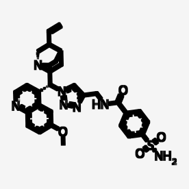 C=CC1C[N@@]2CCC1CC2[C@@H](c1ccnc2ccc(OC)cc12)n1cc(CNC(=O)c2ccc(S(N)(=O)=O)cc2)nn1